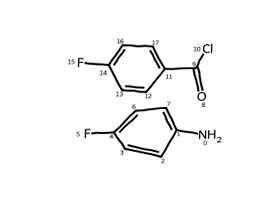 Nc1ccc(F)cc1.O=C(Cl)c1ccc(F)cc1